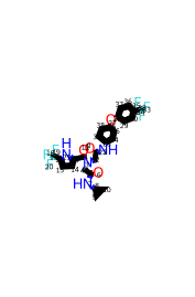 O=C(CN(CC(=O)NC1CC1)C(=O)c1ccc(C(F)(F)F)[nH]1)Nc1ccc(Oc2ccc(C(F)(F)F)cc2)cc1